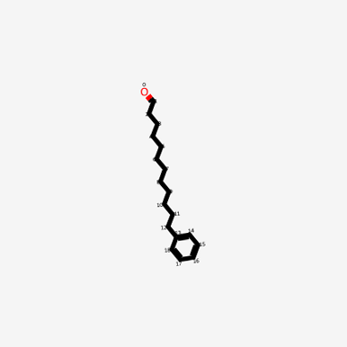 O=[C]CCCCCCCCCCCc1ccccc1